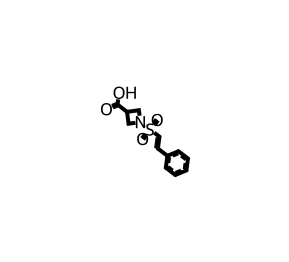 O=C(O)C1CN(S(=O)(=O)/C=C/c2ccccc2)C1